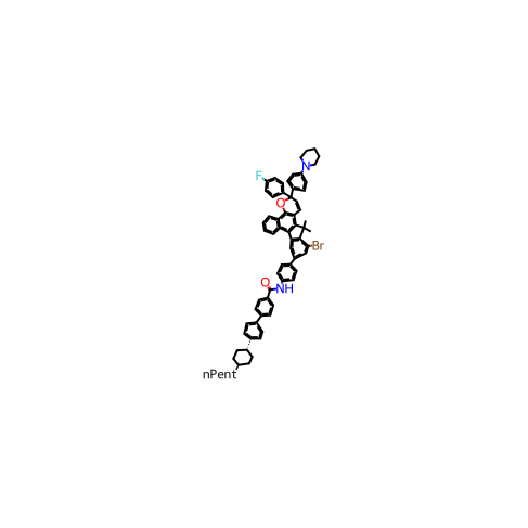 CCCCC[C@H]1CC[C@H](c2ccc(-c3ccc(C(=O)Nc4ccc(-c5cc(Br)c6c(c5)-c5c(c7c(c8ccccc58)OC(c5ccc(F)cc5)(c5ccc(N8CCCCC8)cc5)C=C7)C6(C)C)cc4)cc3)cc2)CC1